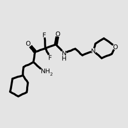 NC(CC1CCCCC1)C(=O)C(F)(F)C(=O)NCCN1CCOCC1